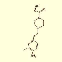 Cc1cc(OCC2CCN(C(=O)OC(C)(C)C)CC2)ccc1N